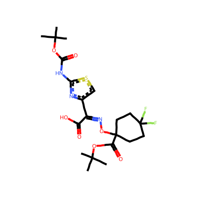 CC(C)(C)OC(=O)Nc1nc(/C(=N/OC2(C(=O)OC(C)(C)C)CCC(F)(F)CC2)C(=O)O)cs1